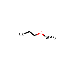 CCCC[O][SbH2]